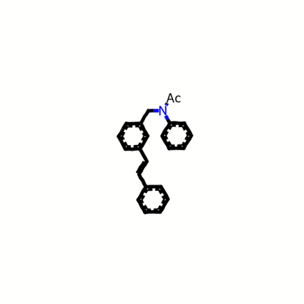 CC(=O)N(Cc1cccc(C=Cc2ccccc2)c1)c1ccccc1